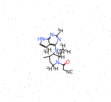 [2H]c1nc(N(C([2H])([2H])[2H])[C@@]2([2H])C([2H])([2H])N(C(=O)C[N+]#[C-])C([2H])([2H])C[C@@]2([2H])C)c2cc[nH]c2n1